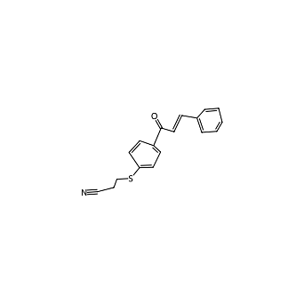 N#CCCSc1ccc(C(=O)C=Cc2ccccc2)cc1